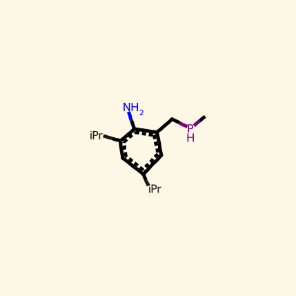 CPCc1cc(C(C)C)cc(C(C)C)c1N